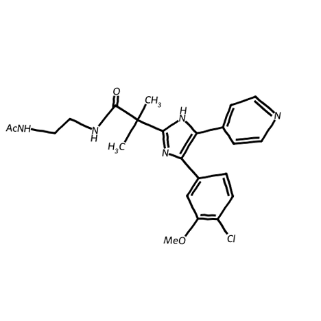 COc1cc(-c2nc(C(C)(C)C(=O)NCCNC(C)=O)[nH]c2-c2ccncc2)ccc1Cl